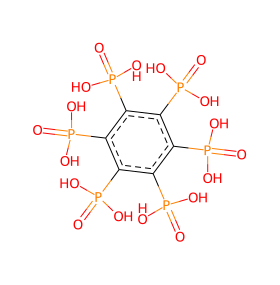 O=P(O)(O)c1c(P(=O)(O)O)c(P(=O)(O)O)c(P(=O)(O)O)c(P(=O)(O)O)c1P(=O)(O)O